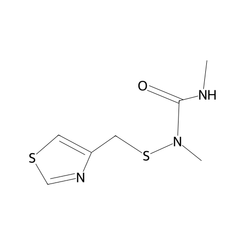 CNC(=O)N(C)SCc1cscn1